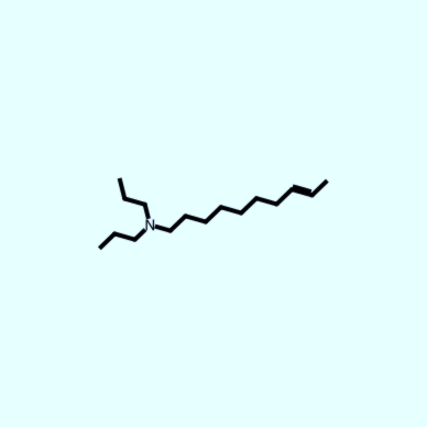 C/C=C/CCCCCCCN(CCC)CCC